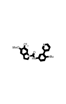 CCCCc1ccc(NC(=O)N2CCc3cc(OC)c(C(F)(F)F)cc32)cc1-c1cccnc1